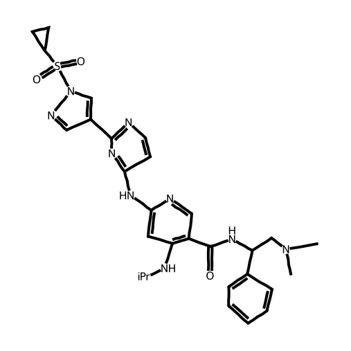 CC(C)Nc1cc(Nc2ccnc(-c3cnn(S(=O)(=O)C4CC4)c3)n2)ncc1C(=O)NC(CN(C)C)c1ccccc1